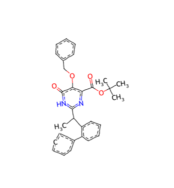 CC(c1nc(C(=O)OC(C)(C)C)c(OCc2ccccc2)c(=O)[nH]1)c1ccccc1-c1ccccc1